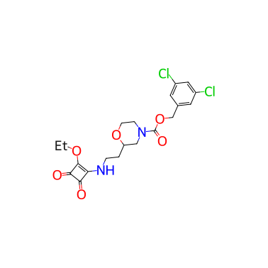 CCOc1c(NCCC2CN(C(=O)OCc3cc(Cl)cc(Cl)c3)CCO2)c(=O)c1=O